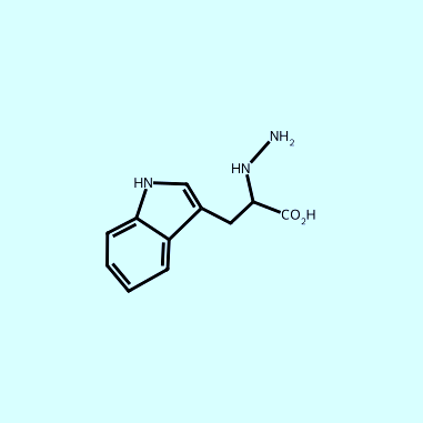 NNC(Cc1c[nH]c2ccccc12)C(=O)O